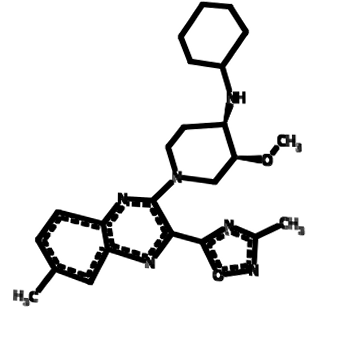 CO[C@H]1CN(c2nc3ccc(C)cc3nc2-c2nc(C)no2)CC[C@H]1NC1CCCCC1